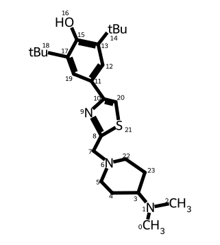 CN(C)C1CCN(Cc2nc(-c3cc(C(C)(C)C)c(O)c(C(C)(C)C)c3)cs2)CC1